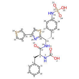 O=C(O)N[C@@H](Cc1ccccc1)C(=O)N[C@@H](Cc1ccc(NS(=O)(=O)O)cc1)c1nc(-c2ccsc2)cs1